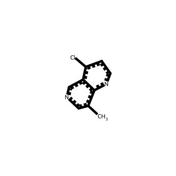 Cc1cncc2c(Cl)ccnc12